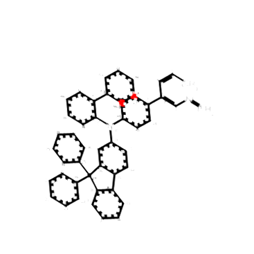 C=N/C=C(\C=C/C)c1ccc(N(c2ccc3c(c2)C(c2ccccc2)(c2ccccc2)c2ccccc2-3)c2ccccc2-c2cccnc2)cc1